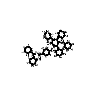 c1ccc(-c2nc(-c3ccc(-n4c5ccccc5c5c4c4sc6ncncc6c4c4c6ccccc6n(-c6ccccc6)c45)cc3)nc3ccccc23)cc1